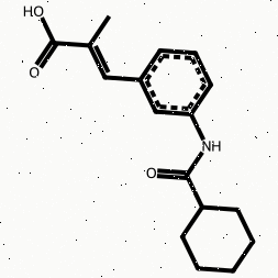 C/C(=C\c1cccc(NC(=O)C2CCCCC2)c1)C(=O)O